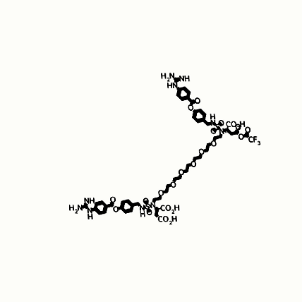 N=C(N)Nc1ccc(C(=O)Oc2ccc(CNS(=O)(=O)N(CCOCCOCCOCCOCCOCCOCCN([C@@H](CC(=O)OC(=O)C(F)(F)F)C(=O)O)S(=O)(=O)NCc3ccc(OC(=O)c4ccc(NC(=N)N)cc4)cc3)[C@@H](CC(=O)O)C(=O)O)cc2)cc1